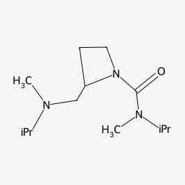 CC(C)N(C)CC1CCN1C(=O)N(C)C(C)C